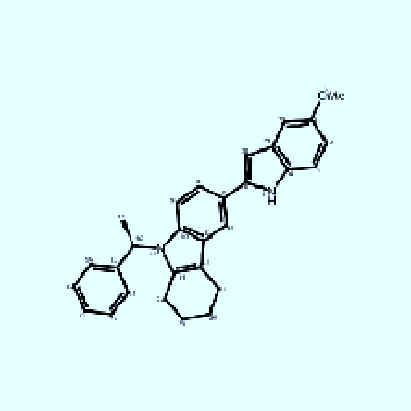 COc1ccc2[nH]c(-c3ccc4c(c3)c3c(n4[C@H](C)c4ccccc4)CCCC3)cc2c1